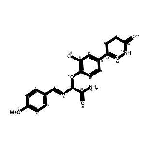 COc1ccc(/C=N/C(Oc2ccc(C3=NNC(=O)CC3)cc2Cl)C(N)=O)cc1